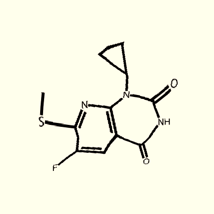 CSc1nc2c(cc1F)c(=O)[nH]c(=O)n2C1CC1